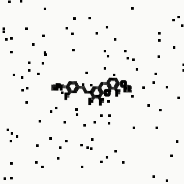 CCCc1ccc(CCc2cc3c(c(F)c2F)Oc2c(ccc(OCC)c2F)C3)cc1F